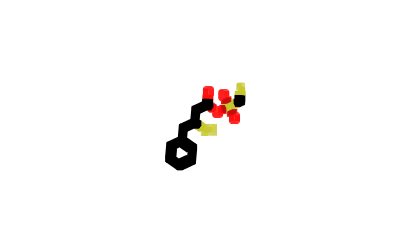 O=C(CC(S)Cc1ccccc1)OS(=O)(=O)C=S